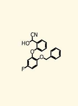 N#CC(O)c1ccccc1Oc1cc(F)ccc1OCc1ccccc1